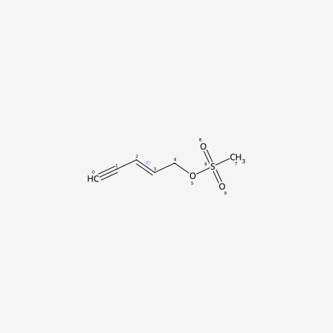 C#C/C=C/COS(C)(=O)=O